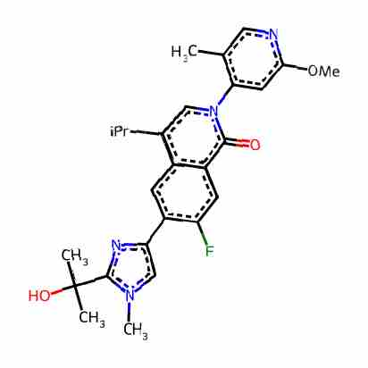 COc1cc(-n2cc(C(C)C)c3cc(-c4cn(C)c(C(C)(C)O)n4)c(F)cc3c2=O)c(C)cn1